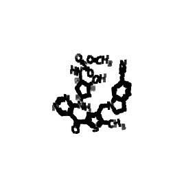 COS(=O)(=O)N[C@@H]1C[C@@H](Nc2ncncc2C(=O)c2cc(CN3CCc4ccc(C#N)cc43)c(C)s2)C[C@@H]1O